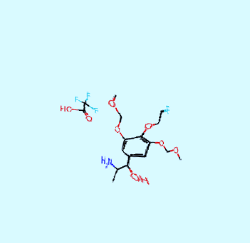 COCOc1cc(C(O)C(C)N)cc(OCOC)c1OCCF.O=C(O)C(F)(F)F